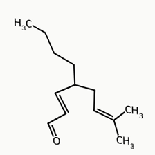 CCCCC(C=CC=O)CC=C(C)C